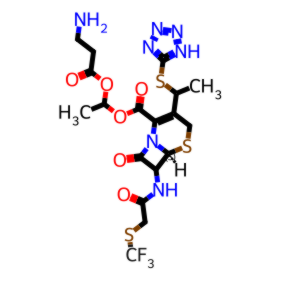 CC(OC(=O)CCN)OC(=O)C1=C(C(C)Sc2nnn[nH]2)CS[C@H]2C(NC(=O)CSC(F)(F)F)C(=O)N12